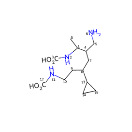 CC(NC(=O)O)C(CN)CC(CCNC(=O)O)C1CC1